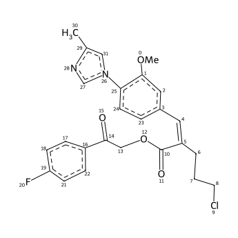 COc1cc(C=C(CCCCl)C(=O)OCC(=O)c2ccc(F)cc2)ccc1-n1cnc(C)c1